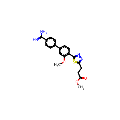 COC(=O)CCc1nnc(-c2ccc(-c3ccc(C(=N)N)cc3)cc2OC)s1